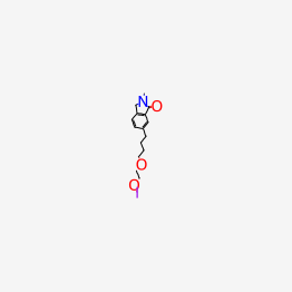 CN1Cc2ccc(CCCCOCCOI)cc2C1=O